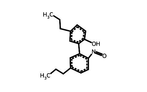 CCCc1ccc(O)c(-c2cc(CCC)ccc2N=O)c1